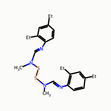 CCc1ccc(N=CN(C)SSN(C)C=Nc2ccc(CC)cc2CC)c(CC)c1